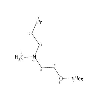 CCCCCCOCCN(C)CCC(C)C